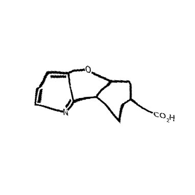 O=C(O)C1CC2Oc3cccnc3C2C1